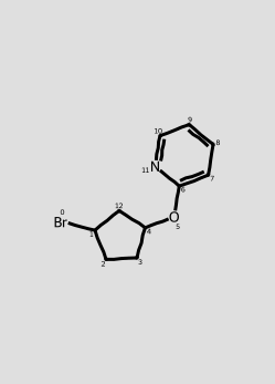 BrC1CCC(Oc2ccccn2)C1